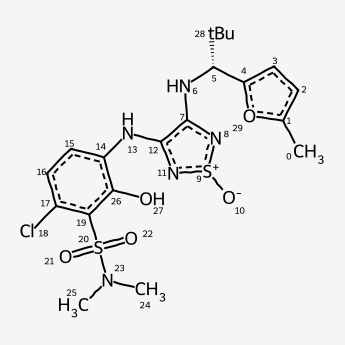 Cc1ccc([C@H](Nc2n[s+]([O-])nc2Nc2ccc(Cl)c(S(=O)(=O)N(C)C)c2O)C(C)(C)C)o1